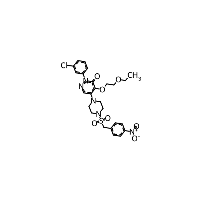 CCOCCOc1c(N2CCN(S(=O)(=O)Cc3ccc([N+](=O)[O-])cc3)CC2)cnn(-c2cccc(Cl)c2)c1=O